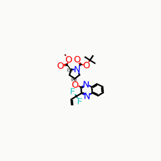 C=CC(F)(F)c1nc2ccccc2nc1O[C@@H]1C[C@@H](C(=O)OC)N(C(=O)OC(C)(C)C)C1